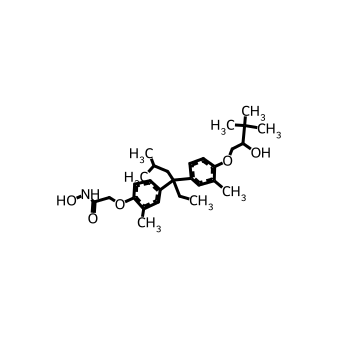 CCC(CC(C)C)(c1ccc(OCC(=O)NO)c(C)c1)c1ccc(OCC(O)C(C)(C)C)c(C)c1